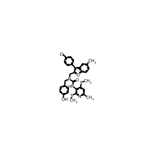 CSc1cc(C)nc(SC)c1NC(=O)N(Cc1ccc(O)cc1)Cc1oc2ccc(C)cc2c1-c1ccc(Cl)cc1